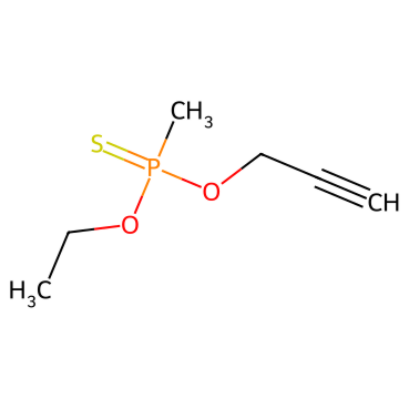 C#CCOP(C)(=S)OCC